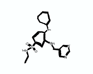 CCNS(=O)(=O)c1ccc(NC2CCCCC2)c(NCc2cncnc2)c1